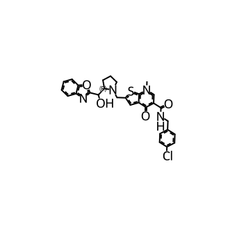 Cn1cc(C(=O)NCc2ccc(Cl)cc2)c(=O)c2cc(CN3CCC[C@@H]3C(O)c3nc4ccccc4o3)sc21